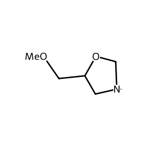 COCC1C[N]CO1